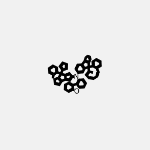 C/C1=C\C=C/C=Cc2ccccc2C12C1=C(CCC=C1)c1ccc(N(C3=C=C4C(=C3)C(C3=C=CC=C3)(c3ccccc3C)C3=C4C=CC3)c3cccc4oc5ccccc5c34)cc12